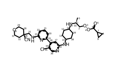 C[C@@H](COOC(=O)C1CC1)NC1CCC(Nc2cc(-c3cccc(NCC4(C#N)CCOCC4)n3)c(Cl)cn2)CC1